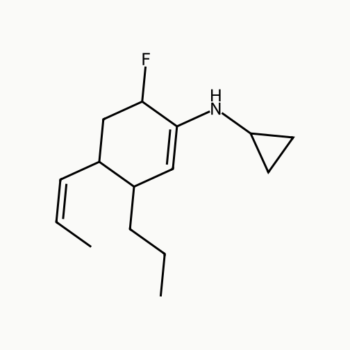 C/C=C\C1CC(F)C(NC2CC2)=CC1CCC